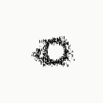 CC[C@@H]1NC(=O)[C@H]([C@H](O)[C@H](C)Cc2nc3cc(C(=O)Oc4ccccc4C(=O)O)ccc3[nH]2)N(C)C(=O)[C@H](C(C)C)N(C)C(=O)[C@H](CC(C)C)N(C)C(=O)[C@H](CC(C)C)N(C)C(=O)[C@@H](C)NC(=O)[C@H](C)NC(=O)[C@H](CC(C)C)N(C)C(=O)[C@H](C(C)C)NC(=O)[C@H](CC(C)C)N(C)C(=O)CN(C)C1=O